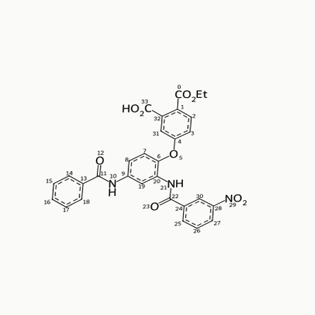 CCOC(=O)c1ccc(Oc2ccc(NC(=O)c3ccccc3)cc2NC(=O)c2cccc([N+](=O)[O-])c2)cc1C(=O)O